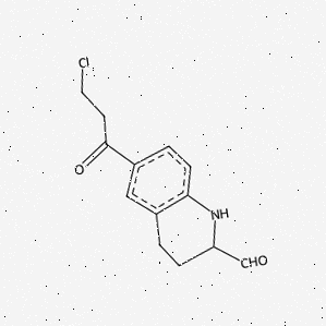 O=CC1CCc2cc(C(=O)CCCl)ccc2N1